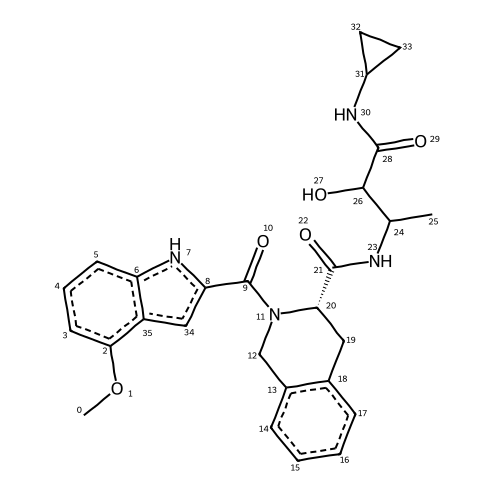 COc1cccc2[nH]c(C(=O)N3Cc4ccccc4C[C@H]3C(=O)NC(C)C(O)C(=O)NC3CC3)cc12